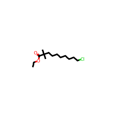 CCOC(=O)C(C)(C)CCCCCCCCCl